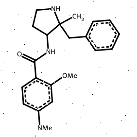 CNc1ccc(C(=O)NC2CCNC2(C)Cc2ccccc2)c(OC)c1